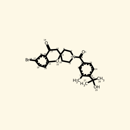 Cc1cc(C(=O)N2CCC3(CC2)CC(=O)c2cc(Br)ccc2O3)ccc1C(C)(C)O